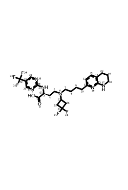 O=C(O)[C@H](CCN(CCCCc1ccc2c(n1)NCCC2)C1CC(F)(F)C1)Nc1ncc(C(F)(F)F)cn1